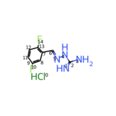 Cl.N=C(N)NN=Cc1cc(F)ccc1F